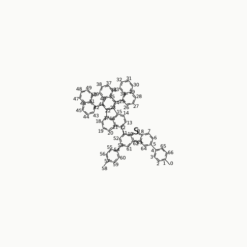 Cc1ccc(-c2ccc3sc4c(-c5ccc6c7c(cccc57)-c5c-6c(-c6cccc7ccccc67)c6ccccc6c5-c5cccc6ccccc56)cc(-c5ccc(C)cc5)cc4c3c2)cc1